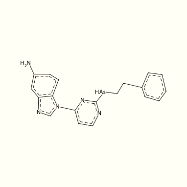 Nc1ccc2c(c1)ncn2-c1ccnc([AsH]CCc2ccccc2)n1